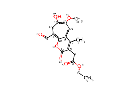 CCOC(=O)Cc1c(C)c2c(oc1=O)=C(C=O)CC(O)=C(OC)C=2